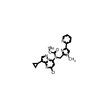 Cn1cc(-c2ccccn2)nc1CN(C(=O)OC(C)(C)C)c1cc(Cl)nc2c(C3CC3)cnn12